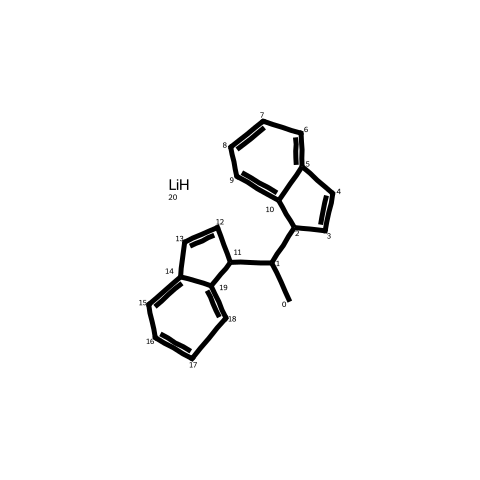 CC(C1C=Cc2ccccc21)C1C=Cc2ccccc21.[LiH]